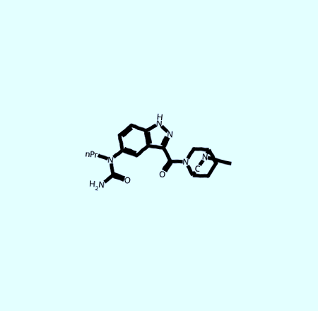 CCCN(C(N)=O)c1ccc2[nH]nc(C(=O)N3CC4CCC3CN4C)c2c1